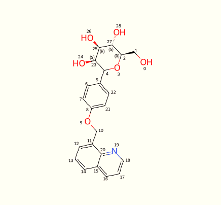 OC[C@H]1OC(c2ccc(OCc3cccc4cccnc34)cc2)[C@@H](O)[C@@H](O)[C@@H]1O